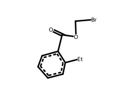 CCc1ccccc1C(=O)OCBr